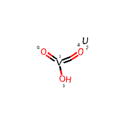 [O]=[V](=[O])[OH].[U]